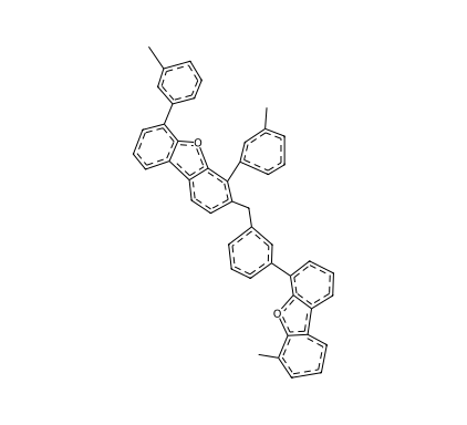 Cc1cccc(-c2cccc3c2oc2c(-c4cccc(C)c4)c(Cc4cccc(-c5cccc6c5oc5c(C)cccc56)c4)ccc23)c1